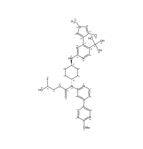 COc1ncc(-c2ccnc(N(C(=O)OCC(O)F)[C@H]3CC[C@H](Nc4ncc(C(O)(O)O)c(-c5nn(C)cc5Cl)n4)CC3)c2)cn1